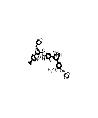 COc1cc(C2=CNC(N)C(c3ccc(NC(=O)c4cn(CC5CCOCC5)cc(-c5ccc(C6CC6)cc5F)c4=O)cc3F)=C2)ccc1OC[C@H]1COCCO1